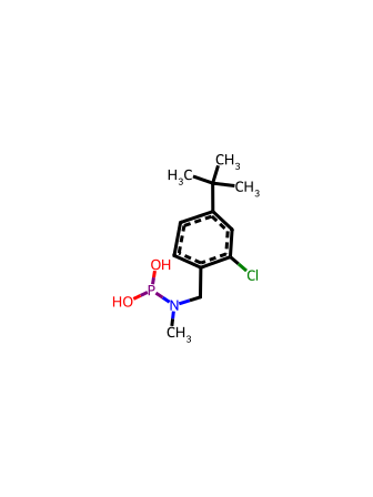 CN(Cc1ccc(C(C)(C)C)cc1Cl)P(O)O